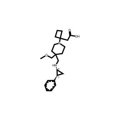 COCC1(CN[C@@H]2C[C@H]2c2ccccc2)CCN(C2(CC(=O)O)CCC2)CC1